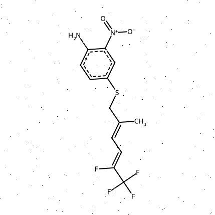 C/C(=C\C=C(/F)C(F)(F)F)CSc1ccc(N)c([N+](=O)[O-])c1